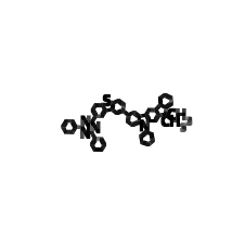 CC1(C)c2ccccc2-c2cc3c4cc(-c5ccc6sc7ccc(-c8nc(-c9ccccc9)nc(-c9ccccc9)n8)cc7c6c5)ccc4n(-c4ccccc4)c3cc21